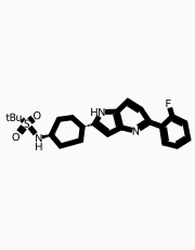 CC(C)(C)S(=O)(=O)N[C@H]1CC[C@H](c2cc3nc(-c4ccccc4F)ccc3[nH]2)CC1